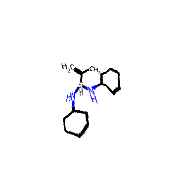 C=C(C)[SiH](NC1CCCCC1)NC1CCCCC1